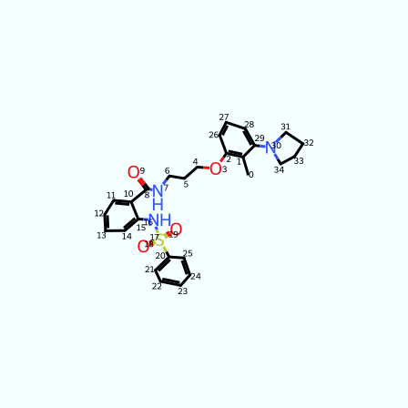 Cc1c(OCCCNC(=O)c2ccccc2NS(=O)(=O)c2ccccc2)cccc1N1CCCC1